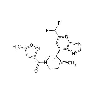 Cc1cc(C(=O)N2CC[C@H](C)[C@H](c3cc(C(F)F)nc4ncnn34)C2)no1